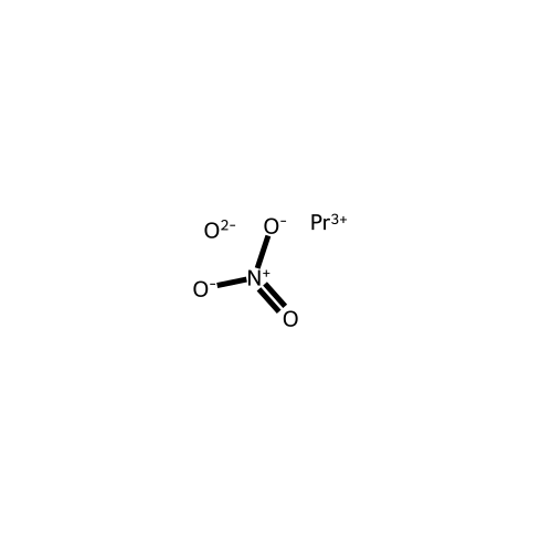 O=[N+]([O-])[O-].[O-2].[Pr+3]